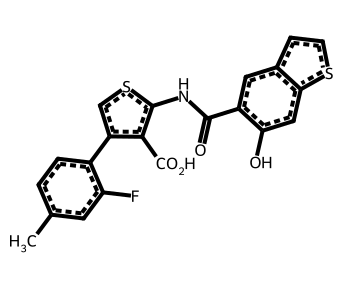 Cc1ccc(-c2csc(NC(=O)c3cc4ccsc4cc3O)c2C(=O)O)c(F)c1